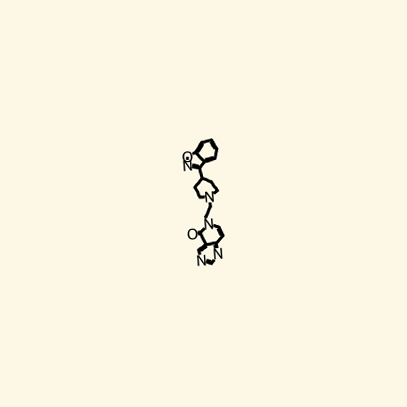 O=c1c2cncnc2ccn1CCN1CCC(c2noc3ccccc23)CC1